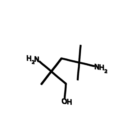 CC(C)(N)CC(C)(N)CO